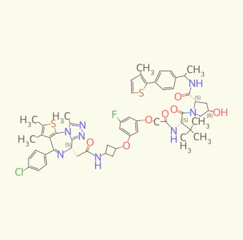 Cc1ccsc1-c1ccc(C(C)NC(=O)[C@@H]2C[C@@H](O)CN2C(=O)[C@@H](NC(=O)COc2cc(F)cc(OC3CC(NC(=O)C[C@@H]4N=C(c5ccc(Cl)cc5)c5c(sc(C)c5C)-n5c(C)nnc54)C3)c2)C(C)(C)C)cc1